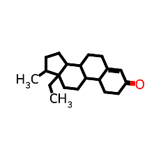 CCC12CCC3C4CCC(=O)C=C4CCC3C1CCC2C